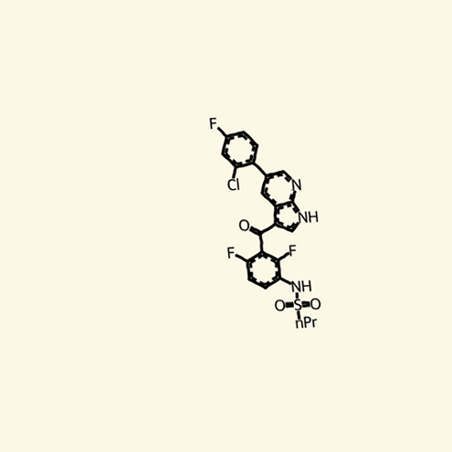 CCCS(=O)(=O)Nc1ccc(F)c(C(=O)c2c[nH]c3ncc(-c4ccc(F)cc4Cl)cc23)c1F